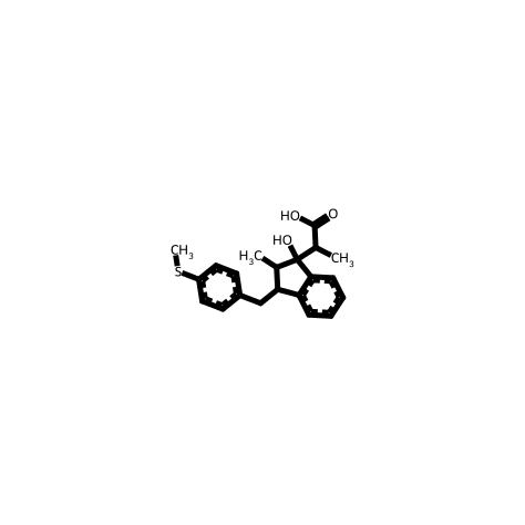 CSc1ccc(CC2c3ccccc3C(O)(C(C)C(=O)O)C2C)cc1